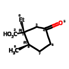 CC[C@@]1(C(=O)O)CC(=O)CC[C@H]1C